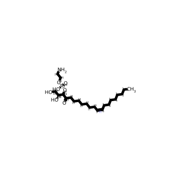 CCCCCCCC/C=C\CCCCCCCC(=O)C(OP(=O)(O)OCCN)[C@@H](O)CO